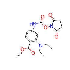 CCOC(=O)c1ccc(NC(=O)ON2C(=O)CCC2=O)cc1N(CC)CC